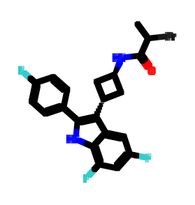 CC(C)C(C)C(=O)N[C@H]1C[C@H](c2c(-c3ccc(F)cc3)[nH]c3c(F)cc(F)cc32)C1